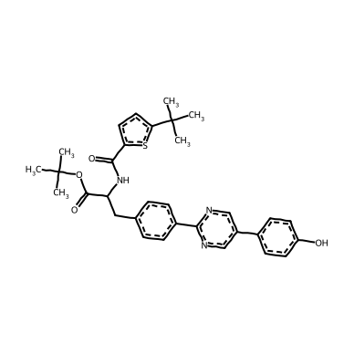 CC(C)(C)OC(=O)C(Cc1ccc(-c2ncc(-c3ccc(O)cc3)cn2)cc1)NC(=O)c1ccc(C(C)(C)C)s1